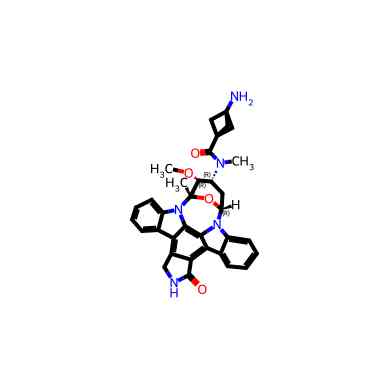 CO[C@@H]1[C@H](N(C)C(=O)C23CC(N)(C2)C3)C[C@H]2O[C@]1(C)n1c3ccccc3c3c4c(c5c6ccccc6n2c5c31)C(=O)NC4